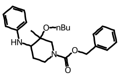 CCCCOC1(C)CN(C(=O)OCc2ccccc2)CCC1Nc1ccccc1